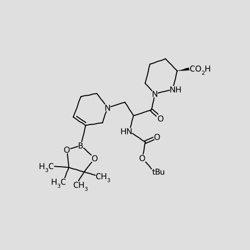 CC(C)(C)OC(=O)NC(CN1CCC=C(B2OC(C)(C)C(C)(C)O2)C1)C(=O)N1CCC[C@@H](C(=O)O)N1